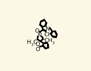 Cc1c(C(=O)N2C[C@@H](C)C3(OC(=O)c4ccccc43)[C@@H](C)C2)c2ccccc2n1Cc1ccccc1